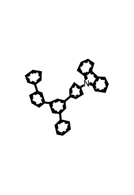 c1ccc(-c2cccc(-c3cc(-c4ccccc4)cc(-c4ccc(-n5c6ccccc6c6ccccc65)cc4)c3)c2)cc1